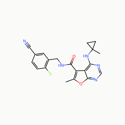 Cc1oc2ncnc(NC3(C)CC3)c2c1C(=O)NCc1cc(C#N)ccc1F